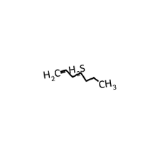 C=CCCCCC.S